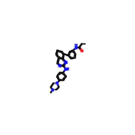 CCC(=O)Nc1cccc(-c2cccc3cnc(Nc4ccc(N5CCN(C)CC5)cc4)nc23)c1